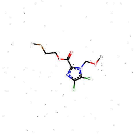 CCOCn1c(C(=O)OCCSCC)nc(Cl)c1Cl